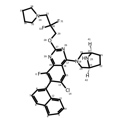 Fc1c(-c2cccc3ccccc23)c(Cl)cc2c(N3C[C@H]4CC[C@@H](C3)N4)nc(OCC(F)(F)CN3CCCC3)nc12